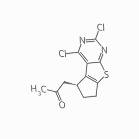 CC(=O)C[C@@H]1CCc2sc3nc(Cl)nc(Cl)c3c21